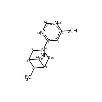 Cc1cc(N2CC3C(C)C(C2)C3N)ncn1